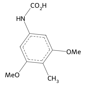 COc1cc(NC(=O)O)cc(OC)c1C